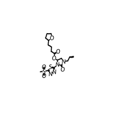 C=CCN1CC(OC(=O)CCCC2CCCO2)N(c2nnc(S(C)(=O)=O)s2)C1=O